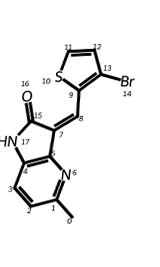 Cc1ccc2c(n1)C(=Cc1sccc1Br)C(=O)N2